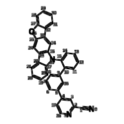 N#Cc1cc(-c2cccc(-c3ccccc3-n3c4ccccc4c4cc5oc6ccccc6c5cc43)c2)ccn1